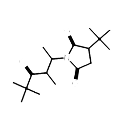 CC(C(=O)C(C)(C)C)C(C)N1C(=O)CC(C(C)(C)C)C1=O